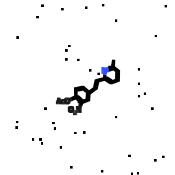 CC(=O)Oc1ccc(/C=C/c2cccc(C)n2)cc1[N+](=O)[O-]